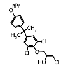 [CH2][CH]COc1ccc(C(C)(C)c2cc(Cl)c(OC[C@H](O)CCl)c(Cl)c2)cc1